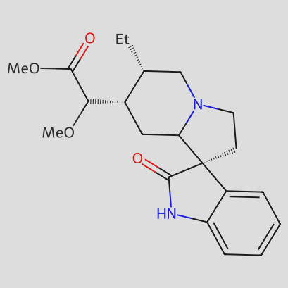 CC[C@@H]1CN2CC[C@]3(C(=O)Nc4ccccc43)C2C[C@@H]1C(OC)C(=O)OC